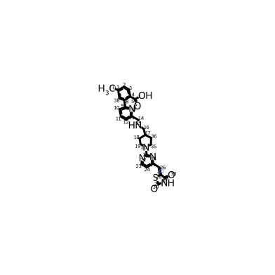 Cc1ccc(C(=O)O)c(-c2cccc(CNCC3CCN(c4nccc(/C=C5\SC(=O)NC5=O)n4)CC3)n2)c1